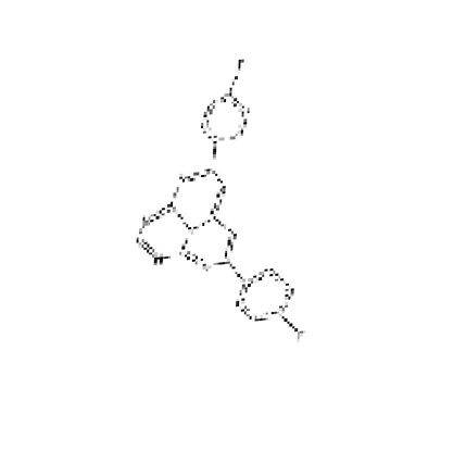 Fc1ccc(C2=CC3=CC(c4ccc(F)cc4)=NC4=NC=NC(=N2)N34)cc1